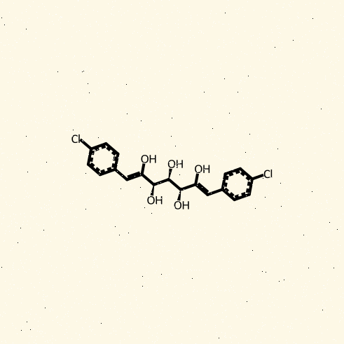 OC(=Cc1ccc(Cl)cc1)[C@@H](O)[C@H](O)[C@@H](O)C(O)=Cc1ccc(Cl)cc1